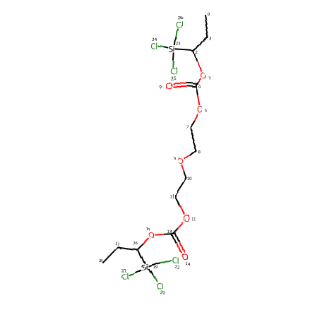 CCC(OC(=O)OCCOCCOC(=O)OC(CC)[Si](Cl)(Cl)Cl)[Si](Cl)(Cl)Cl